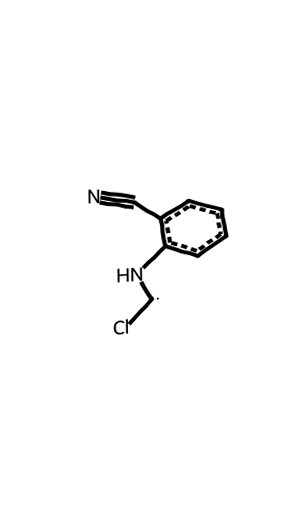 N#Cc1ccccc1N[CH]Cl